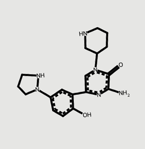 Nc1nc(-c2cc(N3CCCN3)ccc2O)cn(C2CCCNC2)c1=O